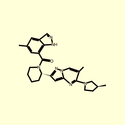 Cc1cc(C(=O)N2CCCC[C@H]2c2cc3nc(N4CC[C@H](C)C4)c(C)cn3n2)c2[nH]ncc2c1